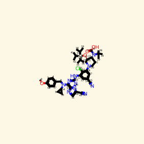 COc1ccc(CN(c2nc(Nc3cc(C#N)cc(N4CC[C@@H](N(C(=O)O)C(C)(C)C)[C@@H](O[Si](C(C)C)(C(C)C)C(C)C)C4)c3Cl)nn3c(C#N)cnc23)C2CC2)cc1